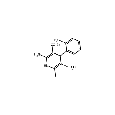 CCOC(=O)C1=C(C)NC(N)=C(C(=O)OCC)C1c1ccccc1C(F)(F)F